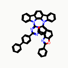 c1ccc(-c2ccc(-c3nc(-c4cccc5oc(-c6ccccc6)nc45)nc(-n4c5ccccc5c5ccc6c7ccccc7n(-c7ccccc7)c6c54)n3)cc2)cc1